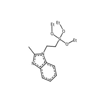 CCO[Si](CCn1c(C)nc2ccccc21)(OCC)OCC